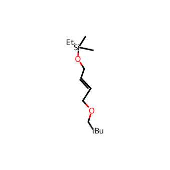 CCC(C)COCC=CCO[Si](C)(C)CC